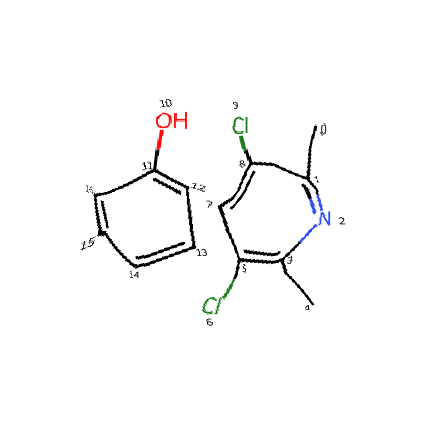 Cc1nc(C)c(Cl)cc1Cl.Oc1ccccc1